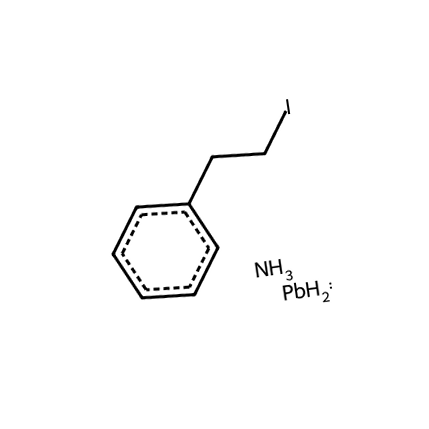 ICCc1ccccc1.N.[PbH2]